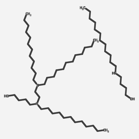 CCCCCCCCCCCCN(CCCCO)CCN(CCCCCCCCCCCC)CCCCCCCCCCCC.CCCCCCCCCCCCNCCCCO